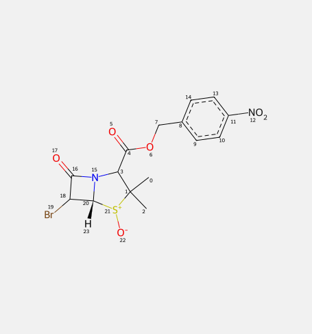 CC1(C)C(C(=O)OCc2ccc([N+](=O)[O-])cc2)N2C(=O)C(Br)[C@H]2[S+]1[O-]